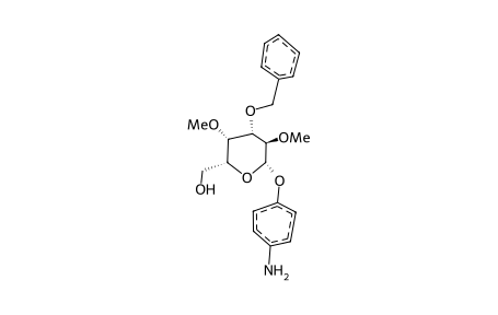 CO[C@@H]1[C@H](OCc2ccccc2)[C@@H](OC)[C@H](Oc2ccc(N)cc2)O[C@@H]1CO